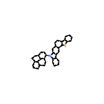 c1cc2ccc3ccc(-n4c5ccccc5c5cc6c(ccc7c8ccccc8sc67)cc54)c4ccc(c1)c2c34